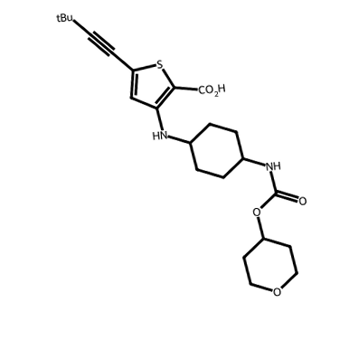 CC(C)(C)C#Cc1cc(NC2CCC(NC(=O)OC3CCOCC3)CC2)c(C(=O)O)s1